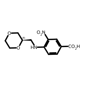 O=C(O)c1ccc(NC[C@@H]2COCCO2)c([N+](=O)[O-])c1